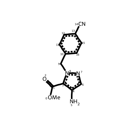 COC(=O)c1c(N)cnn1Cc1ccc(C#N)cc1